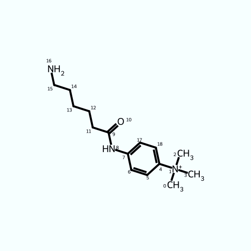 C[N+](C)(C)c1ccc(NC(=O)CCCCCN)cc1